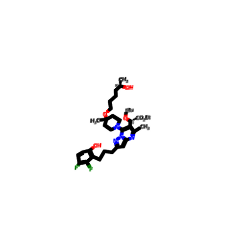 CCOC(=O)[C@@H](OC(C)(C)C)c1c(C)nc2cc(CCCc3c(O)ccc(F)c3F)nn2c1N1CCC(C)(OCCCC[C@@H](C)O)CC1